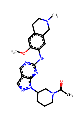 COc1cc2c(cc1Nc1ncc3cnn(C4CCCN(C(C)=O)C4)c3n1)CN(C)CC2